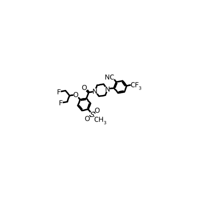 CS(=O)(=O)c1ccc(OC(CF)CF)c(C(=O)N2CCN(c3ccc(C(F)(F)F)cc3C#N)CC2)c1